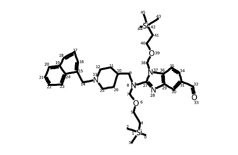 C[Si](C)(C)CCOCN(CC1CCN(Cc2cccc3ccccc23)CC1)c1nc2cc(C=O)ccc2n1COCC[Si](C)(C)C